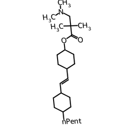 CCCCCC1CCC(/C=C/C2CCC(OC(=O)C(C)(C)CN(C)C)CC2)CC1